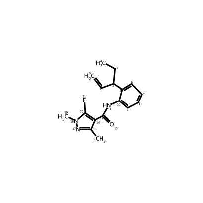 C=CC(CC)c1ccccc1NC(=O)c1c(C)nn(C)c1F